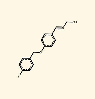 OC/N=C/c1ccc(OCc2ccc(F)cc2)cc1